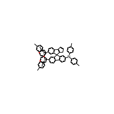 Cc1ccc(N(c2ccc(C)cc2)c2ccc3c(c2)C2(C4=C3C=CC4)c3cc(N(c4ccc(C)cc4)c4ccc(C)cc4)ccc3-c3ccc(N(c4ccc(C)cc4)c4ccc(C)cc4)cc32)cc1